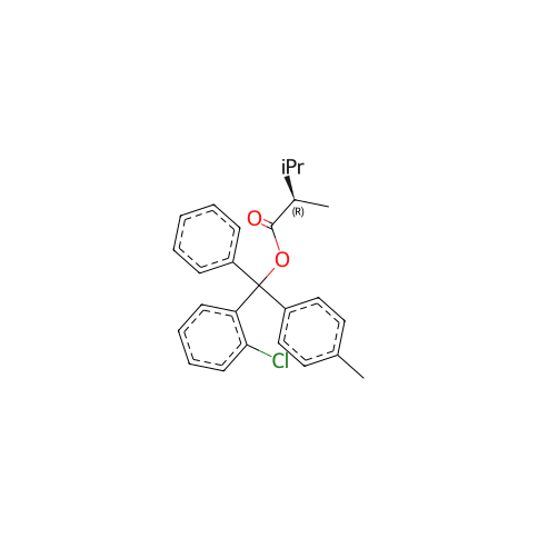 Cc1ccc(C(OC(=O)[C@H](C)C(C)C)(c2ccccc2)c2ccccc2Cl)cc1